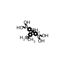 BC(c1ccc(N(C)C)cc1)(c1ccc(N(CCO)CCO)cc1)c1ccc(N(CCO)CCO)cc1